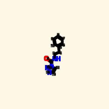 O=C(NCCc1ccccc1)n1ccnn1